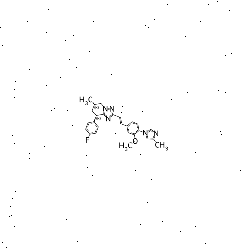 COc1cc(C=Cc2nc3n(n2)C[C@H](C)C[C@@H]3c2ccc(F)cc2)ccc1-n1cnc(C)c1